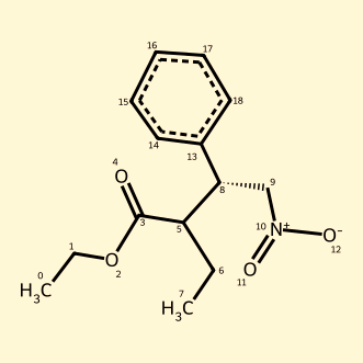 CCOC(=O)C(CC)[C@@H](C[N+](=O)[O-])c1ccccc1